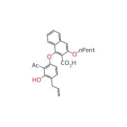 C=CCc1ccc(Oc2c(C(=O)O)c(OCCCCC)cc3ccccc23)c(C(C)=O)c1O